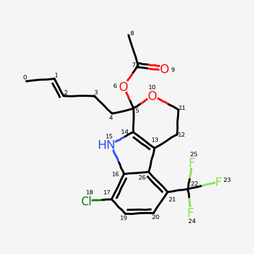 C/C=C/CCC1(OC(C)=O)OCCc2c1[nH]c1c(Cl)ccc(C(F)(F)F)c21